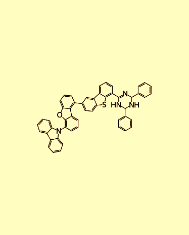 c1ccc(C2N=C(c3cccc4c3sc3ccc(-c5cccc6oc7c(-n8c9ccccc9c9ccccc98)cccc7c56)cc34)NC(c3ccccc3)N2)cc1